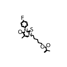 C=C(C)C(=O)OCCCCCn1cc(C)c(=O)n(-c2ccc(F)cc2)c1=S